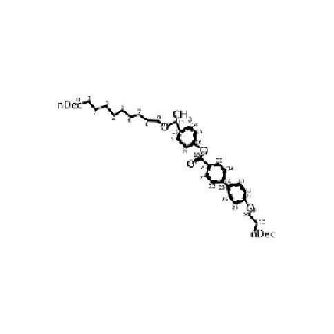 CCCCCCCCCCCCCCCCCCCOC(C)c1ccc(OC(=O)c2ccc(-c3ccc(OCCCCCCCCCCCC)cc3)cc2)cc1